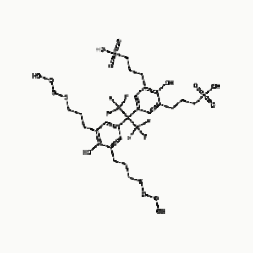 O=S(=O)(O)CCCc1cc(C(c2cc(CCCSOOO)c(O)c(CCCSOOO)c2)(C(F)(F)F)C(F)(F)F)cc(CCCS(=O)(=O)O)c1O